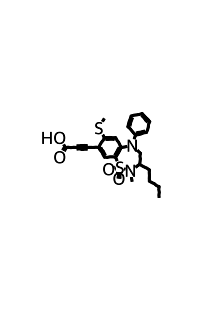 CCCCC1CN(c2ccccc2)c2cc(SC)c(C#CC(=O)O)cc2S(=O)(=O)N1C